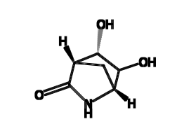 O=C1N[C@@H]2C[C@H]1[C@H](O)C2O